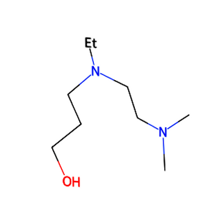 CCN(CCCO)CCN(C)C